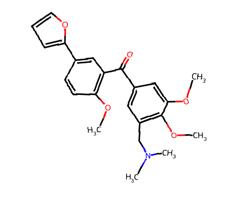 COc1ccc(-c2ccco2)cc1C(=O)c1cc(CN(C)C)c(OC)c(OC)c1